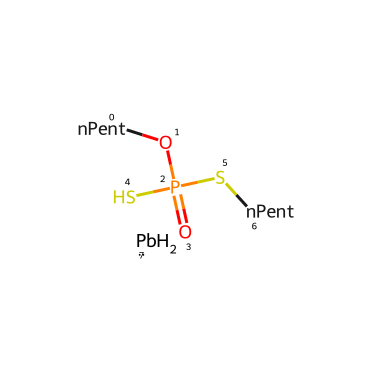 CCCCCOP(=O)(S)SCCCCC.[PbH2]